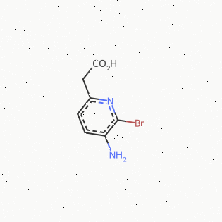 Nc1ccc(CC(=O)O)nc1Br